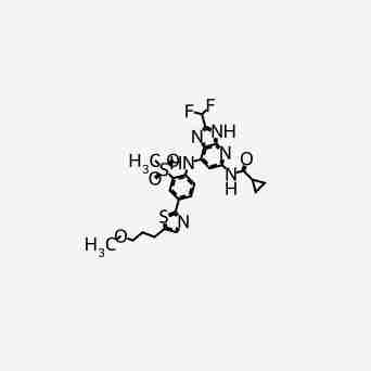 COCCCc1cnc(-c2ccc(Nc3cc(NC(=O)C4CC4)nc4[nH]c(C(F)F)nc34)c(S(C)(=O)=O)c2)s1